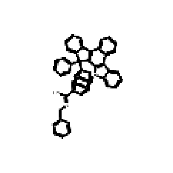 N/C(=N\Cc1ccccc1)c1ccc(-n2c3ccccc3c3c4ccccc4c4c(c32)C(c2ccccc2)(c2ccccc2)c2ccccc2-4)cc1